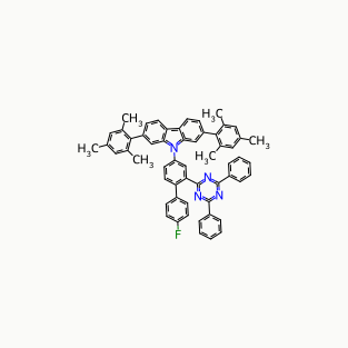 Cc1cc(C)c(-c2ccc3c4ccc(-c5c(C)cc(C)cc5C)cc4n(-c4ccc(-c5ccc(F)cc5)c(-c5nc(-c6ccccc6)nc(-c6ccccc6)n5)c4)c3c2)c(C)c1